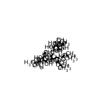 CC(C)(C)OC(=O)NCCC(NC(=O)OC(C)(C)C)C(OC1O[C@H](CO)C(O)C(NC(=O)OC(C)(C)C)[C@H]1O)[C@@H](O)CO[C@H]1OC(CNC(=O)OC(C)(C)C)[C@@H](O)C(O)C1O